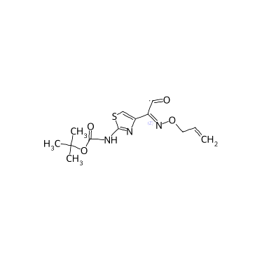 C=CCO/N=C(\[C]=O)c1csc(NC(=O)OC(C)(C)C)n1